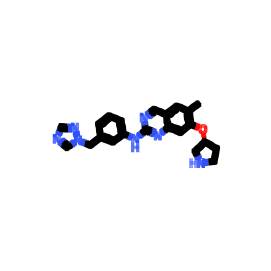 Cc1cc2cnc(Nc3cccc(Cn4cncn4)c3)nc2cc1O[C@H]1CCNC1